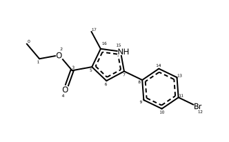 CCOC(=O)c1cc(-c2ccc(Br)cc2)[nH]c1C